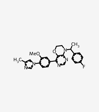 COc1cc(-c2ncnc3c2OCCN3C(C)c2ccc(F)cc2)ccc1-n1cnc(C)c1